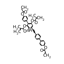 C=CC(=O)Oc1ccc(-c2ccc(C#Cc3cc(OC(=O)C(=C)C)c(-c4ccc(OC(=O)C=C)cc4)c(OC(=O)C(=C)C)c3CCC)cc2)cc1